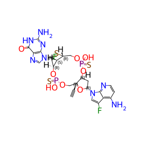 C#C[C@@]12COP(O)(=S)O[C@@H]3[C@H](F)[C@@H](COP(O)(=S)O[C@H]1C[C@H](n1cc(F)c4c(N)ccnc41)O2)S[C@H]3n1cnc2c(=O)[nH]c(N)nc21